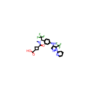 CN(C(=O)C1CC(C(=O)O)C1)[C@@H](c1ccc(Nc2cnn(-c3ccccn3)c2C(F)(F)F)cc1)C(F)(F)F